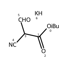 CC(C)COC(=O)C(C#N)C=O.[KH]